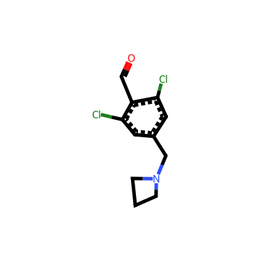 O=Cc1c(Cl)cc(CN2CCC2)cc1Cl